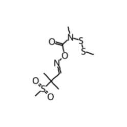 CSSN(C)C(=O)ON=CC(C)(C)S(C)(=O)=O